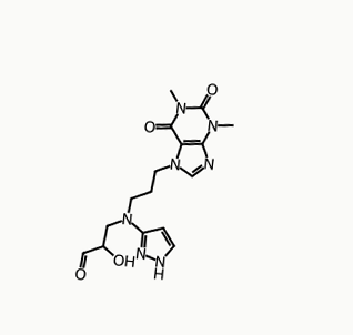 Cn1c(=O)c2c(ncn2CCCN(CC(O)C=O)c2cc[nH]n2)n(C)c1=O